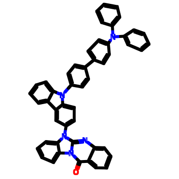 O=c1c2ccccc2nc2n(-c3ccc4c(c3)c3ccccc3n4-c3ccc(-c4ccc(N(c5ccccc5)c5ccccc5)cc4)cc3)c3ccccc3n12